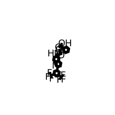 O=C(O)c1ccccc1S(=O)(=O)Nc1ccc2nc(-c3cc(C(F)(F)F)cc(C(F)(F)F)c3)ccc2c1